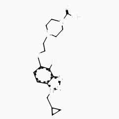 CC(=O)N1CCN(CCOc2ccc3c(nnn3CC3CC3)c2Br)CC1